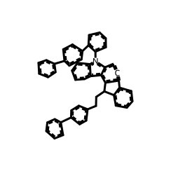 c1ccc(-c2ccc(CCC3c4ccccc4-c4ccc5c(c43)c3ccccc3n5-c3ccccc3-c3ccc(-c4ccccc4)cc3)cc2)cc1